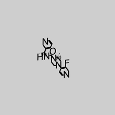 C[C@@H]1CN(c2ccncc2F)CCN1C(=O)N[C@H](C)c1cccnc1